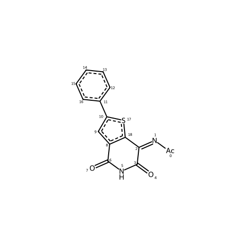 CC(=O)/N=C1\C(=O)NC(=O)c2cc(-c3ccccc3)sc21